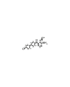 CO/N=C/c1c(N)ncnc1Nc1ccc(-c2ccc(Cl)cc2)cc1